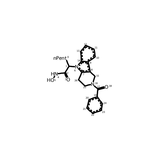 CCCCCC(C(=O)NO)n1c2c(c3ccccc31)CN(C(=O)c1ccccc1)CC2